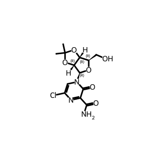 CC1(C)O[C@@H]2[C@H](O1)[C@@H](CO)O[C@H]2n1cc(Cl)nc(C(N)=O)c1=O